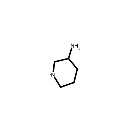 NC1CCC[N]C1